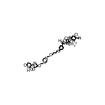 CC1(C)C(NC(=O)c2ccc(OCCCCOCCN3CCN(CCOc4cnn(C5CCC(=O)NC5=O)c(=O)c4)CC3)cc2)C(C)(C)C1Oc1ccc(C#N)c(Cl)c1